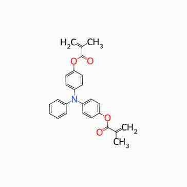 C=C(C)C(=O)Oc1ccc(N(c2ccccc2)c2ccc(OC(=O)C(=C)C)cc2)cc1